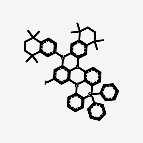 CC1(C)CCC(C)(C)c2cc(N3c4cc5c(cc4B4c6cccc7c6N(c6ccccc6[Si]7(c6ccccc6)c6ccccc6)c6cc(F)cc3c64)C(C)(C)CCC5(C)C)ccc21